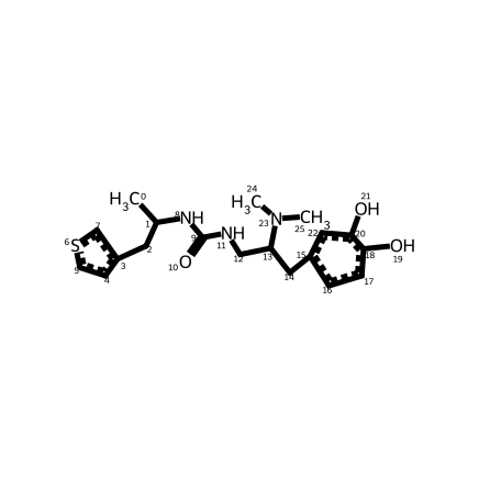 CC(Cc1ccsc1)NC(=O)NCC(Cc1ccc(O)c(O)c1)N(C)C